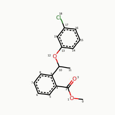 COC(=O)c1ccccc1C(C)Oc1cccc(Cl)c1